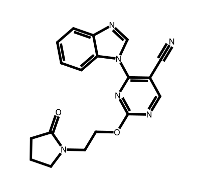 N#Cc1cnc(OCCN2CCCC2=O)nc1-n1cnc2ccccc21